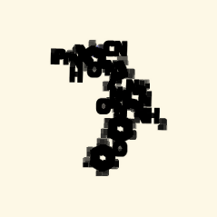 CC(C)NC(C)(C)/C=C(/C#N)C(=O)N1CC[C@H]1Cn1c(=O)n(-c2ccc(Oc3ccccc3)cc2)c2c(N)ncnc21